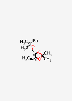 C=C[C@@H]1OC(C)(C)O[C@H]1CO[Si](C)(C)C(C)(C)C